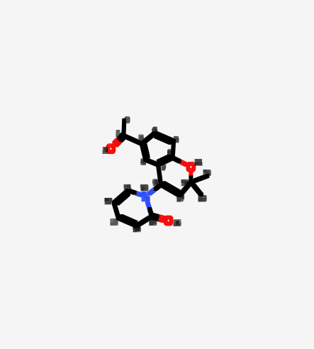 CC(=O)c1ccc2c(c1)C(n1ccccc1=O)=CC(C)(C)O2